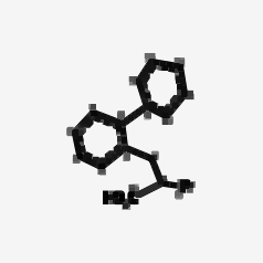 CC(C)C(Cc1ccccc1-c1ccccc1)C(=O)O